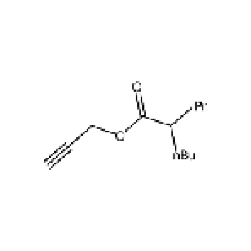 C#CCOC(=O)C(CCCC)C(C)C